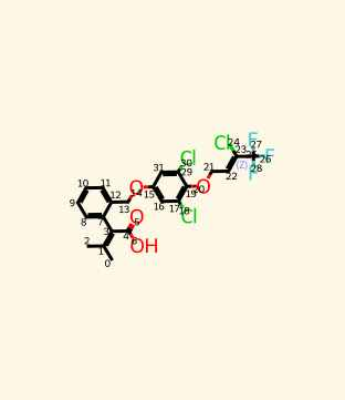 CC(C)=C(C(=O)O)c1ccccc1COc1cc(Cl)c(OC/C=C(\Cl)C(F)(F)F)c(Cl)c1